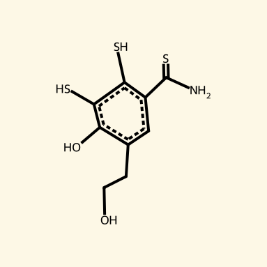 NC(=S)c1cc(CCO)c(O)c(S)c1S